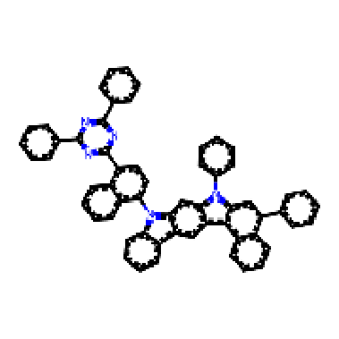 c1ccc(-c2nc(-c3ccccc3)nc(-c3ccc(-n4c5ccccc5c5cc6c7c8ccccc8c(-c8ccccc8)cc7n(-c7ccccc7)c6cc54)c4ccccc34)n2)cc1